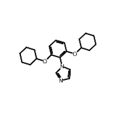 c1cc(OC2CCCCC2)c(-n2ccnc2)c(OC2CCCCC2)c1